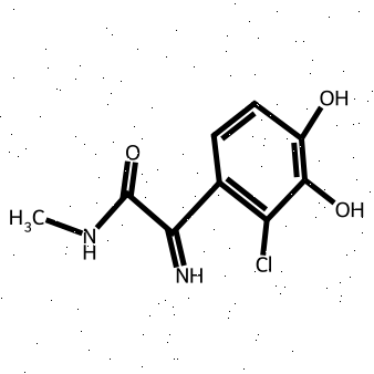 CNC(=O)C(=N)c1ccc(O)c(O)c1Cl